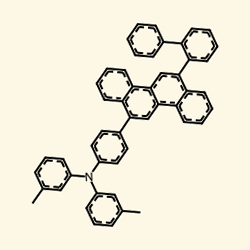 Cc1cccc(N(c2ccc(-c3cc4c5ccccc5c(-c5ccccc5-c5ccccc5)cc4c4ccccc34)cc2)c2cccc(C)c2)c1